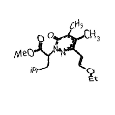 CCOC=Cc1nn(C(CC(C)C)C(=O)OC)c(=O)c(C)c1C